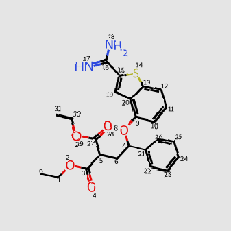 CCOC(=O)C(CC(Oc1cccc2sc(C(=N)N)cc12)c1ccccc1)C(=O)OCC